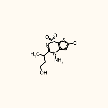 CC(CCO)C1=NS(=O)(=O)c2sc(Cl)cc2N1N